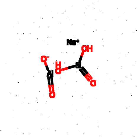 O=[Si](O)O.[Na+].[O]=[Al][O-]